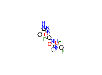 O=C(Nc1ccc(Oc2ncnc3[nH]cc(-c4ccccc4)c23)c(F)c1)c1c2n(n(-c3cc(F)ccc3F)c1=O)CCCC2